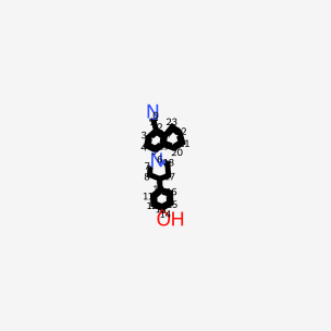 N#Cc1ccc(N2CCC(c3ccc(O)cc3)CC2)c2ccccc12